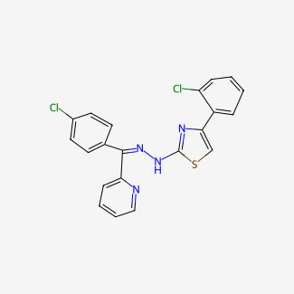 Clc1ccc(C(=NNc2nc(-c3ccccc3Cl)cs2)c2ccccn2)cc1